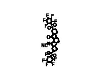 N#C/N=c1\c2cc(S(=O)(=O)c3c(F)c(F)c(F)c(F)c3F)ccc2c2ccc3c4ccc(S(=O)(=O)c5c(F)c(F)c(F)c(F)c5F)cc4c(=O)c3c12